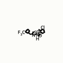 Cc1c(Cl)cccc1S(=O)(=O)Nc1nc(Cc2cccc(C(F)(F)F)c2)cs1